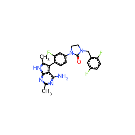 Cc1nc(N)c2c(-c3ccc(N4CCN(Cc5cc(F)ccc5F)C4=O)cc3F)c(C)[nH]c2n1